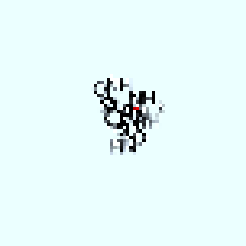 CNC(=O)c1cc2c(s1)CCc1sc(C(=O)NC)cc1C2(C[C@H](C)N)c1nn[nH]n1